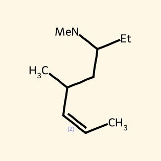 C/C=C\C(C)CC(CC)NC